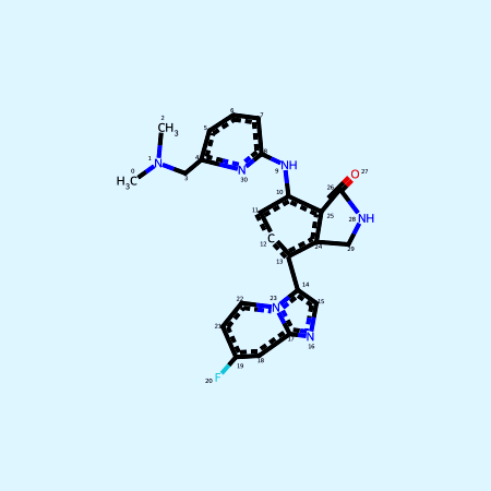 CN(C)Cc1cccc(Nc2ccc(-c3cnc4cc(F)ccn34)c3c2C(=O)NC3)n1